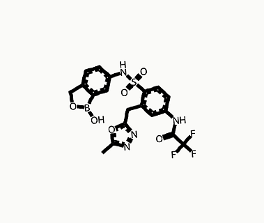 Cc1nnc(Cc2cc(NC(=O)C(F)(F)F)ccc2S(=O)(=O)Nc2ccc3c(c2)B(O)OC3)o1